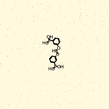 OB(O)c1cccc(OBOc2cccc(B(O)O)c2)c1